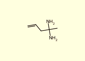 C=CCC(C)(N)N